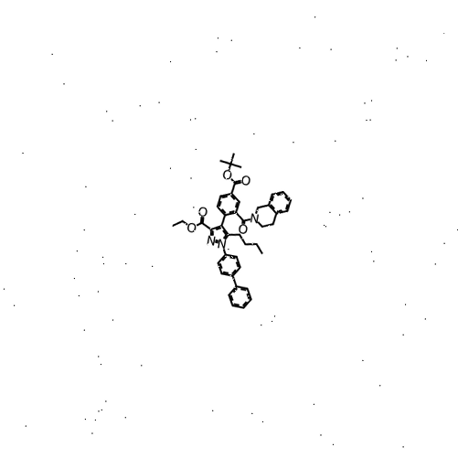 CCCCc1c(-c2ccc(C(=O)OC(C)(C)C)cc2C(=O)N2CCc3ccccc3C2)c(C(=O)OCC)nn1-c1ccc(-c2ccccc2)cc1